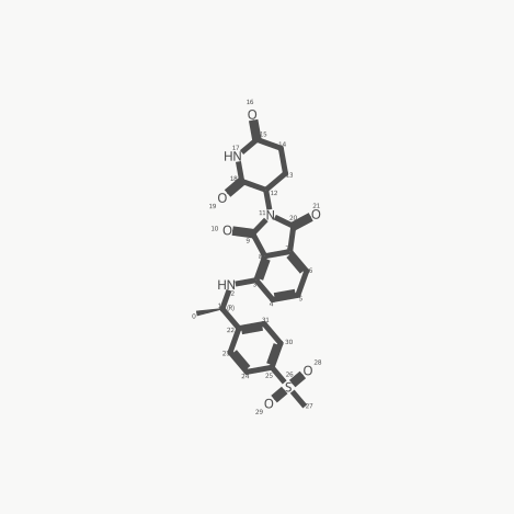 C[C@@H](Nc1cccc2c1C(=O)N(C1CCC(=O)NC1=O)C2=O)c1ccc(S(C)(=O)=O)cc1